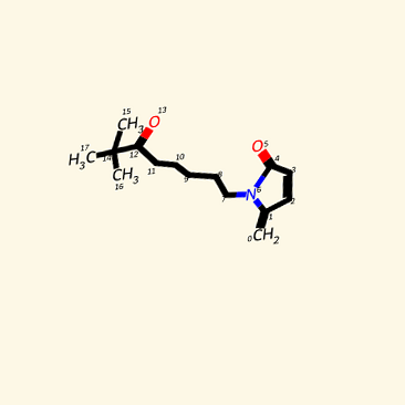 C=C1C=CC(=O)N1CCCCCC(=O)C(C)(C)C